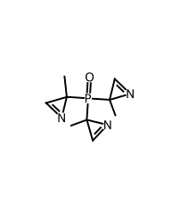 CC1(P(=O)(C2(C)C=N2)C2(C)C=N2)C=N1